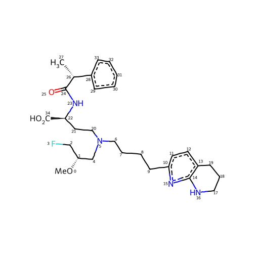 CO[C@H](CF)CN(CCCCc1ccc2c(n1)NCCC2)CC[C@H](NC(=O)[C@H](C)c1ccccc1)C(=O)O